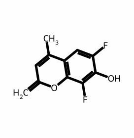 C=C1C=C(C)c2cc(F)c(O)c(F)c2O1